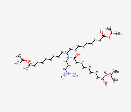 CCCCC(CCCC)OC(=O)CCCCCCCCC(CCCCCCCCC(=O)OC(CCCC)CCCC)N(CCCN(C)C)C(=O)CCCCCCCC(O)OC(CCCC)CCCC